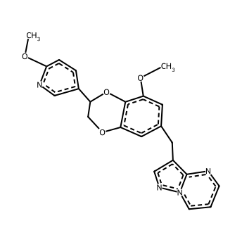 COc1ccc(C2COc3cc(Cc4cnn5cccnc45)cc(OC)c3O2)cn1